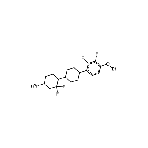 CCCC1CCC(C2CCC(c3ccc(OCC)c(F)c3F)CC2)C(F)(F)C1